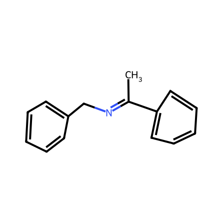 C/C(=N\Cc1ccccc1)c1ccccc1